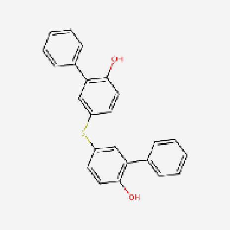 Oc1ccc(Sc2ccc(O)c(-c3ccccc3)c2)cc1-c1ccccc1